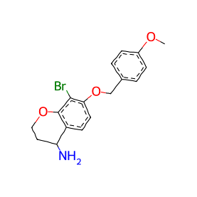 COc1ccc(COc2ccc3c(c2Br)OCCC3N)cc1